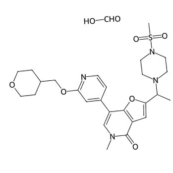 CC(c1cc2c(=O)n(C)cc(-c3ccnc(OCC4CCOCC4)c3)c2o1)N1CCN(S(C)(=O)=O)CC1.O=CO